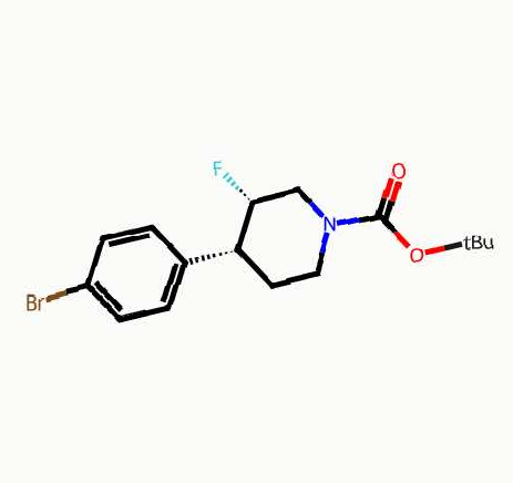 CC(C)(C)OC(=O)N1CC[C@H](c2ccc(Br)cc2)[C@H](F)C1